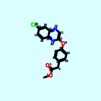 COC(=O)Cc1ccc(Oc2cnc3cc(Cl)ccc3n2)cc1